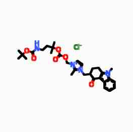 Cc1n(CC2CCc3c(c4ccccc4n3C)C2=O)cc[n+]1COC(=O)OC(C)(C)CCNC(=O)OC(C)(C)C.[Cl-]